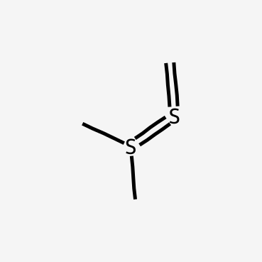 C=S=S(C)C